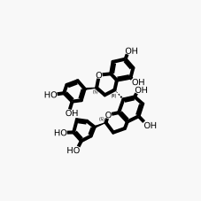 Oc1cc(O)c2c(c1)O[C@H](c1ccc(O)c(O)c1)C[C@H]2c1c(O)cc(O)c2c1O[C@H](c1ccc(O)c(O)c1)CC2